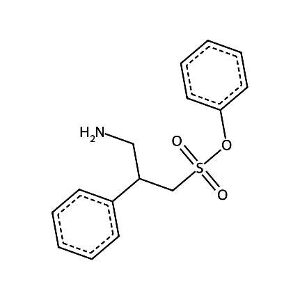 NCC(CS(=O)(=O)Oc1ccccc1)c1ccccc1